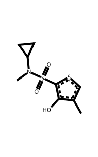 Cc1csc(S(=O)(=O)N(C)C2CC2)c1O